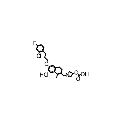 CC1=C(CN2CC(OC(=O)O)C2)CCc2cc(OCCCc3ccc(F)cc3Cl)ccc21.Cl